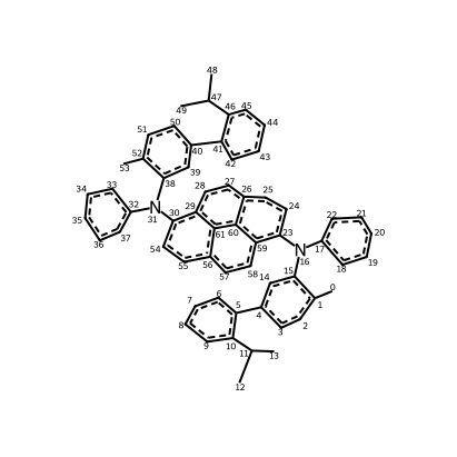 Cc1ccc(-c2ccccc2C(C)C)cc1N(c1ccccc1)c1ccc2ccc3c(N(c4ccccc4)c4cc(-c5ccccc5C(C)C)ccc4C)ccc4ccc1c2c43